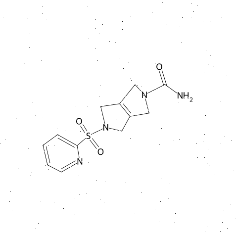 NC(=O)N1CC2=C(C1)CN(S(=O)(=O)c1ccccn1)C2